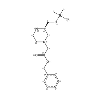 CC(C)(C)[Si](C)(C)OC[C@H]1CN(CC(=O)OCc2ccccc2)CCN1